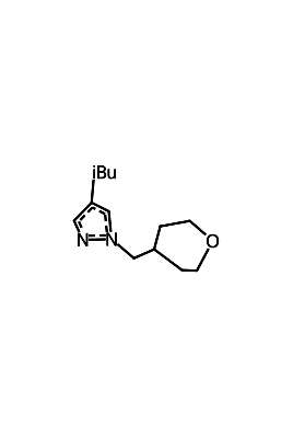 CCC(C)c1cnn(CC2CCOCC2)c1